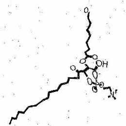 CCCCCCCCCCCCCCCC(=O)C(OP(=O)([O-])OCC[N+](C)(C)C)[C@H](CO)OC(=O)CCCCCCCC=O